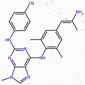 C/C(N)=C\c1cc(C)c(Nc2nc(Nc3ccc(C#N)cc3)nc3c2ncn3C)c(C)c1